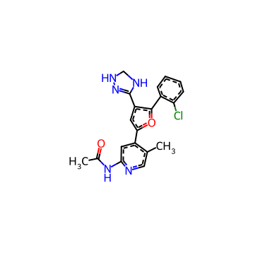 CC(=O)Nc1cc(-c2cc(C3=NNCN3)c(-c3ccccc3Cl)o2)c(C)cn1